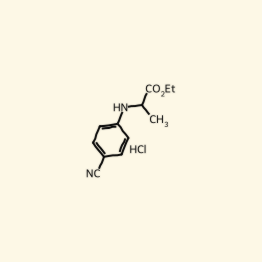 CCOC(=O)C(C)Nc1ccc(C#N)cc1.Cl